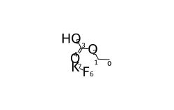 CCOC(=O)O.[F][K]